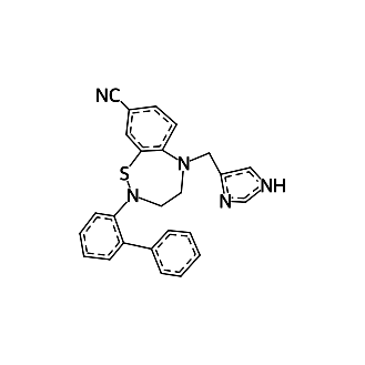 N#Cc1ccc2c(c1)SN(c1ccccc1-c1ccccc1)CCN2Cc1c[nH]cn1